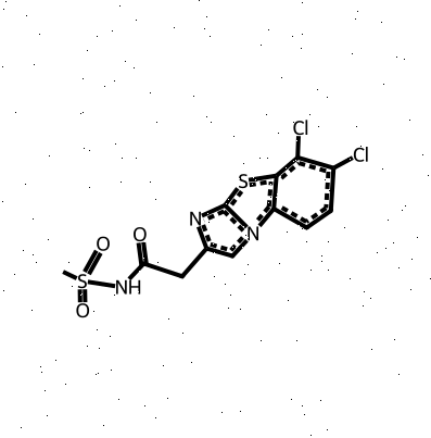 CS(=O)(=O)NC(=O)Cc1cn2c(n1)sc1c(Cl)c(Cl)ccc12